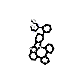 C=N/C=C(\C=C/C)c1ccccc1-c1ccc2c3oc4cccc5c6ccccc6c6ccccc6n(c2c1)c3c45